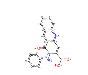 O=C(O)C1=Cc2nc3ccccc3cc2C(=O)C1Nc1ccccc1